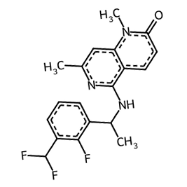 Cc1cc2c(ccc(=O)n2C)c(NC(C)c2cccc(C(F)F)c2F)n1